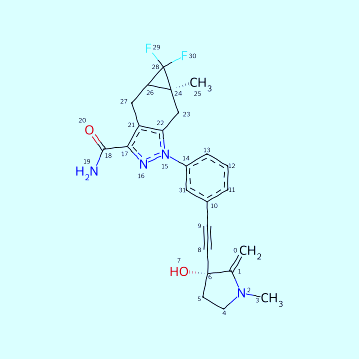 C=C1N(C)CC[C@@]1(O)C#Cc1cccc(-n2nc(C(N)=O)c3c2C[C@@]2(C)C(C3)C2(F)F)c1